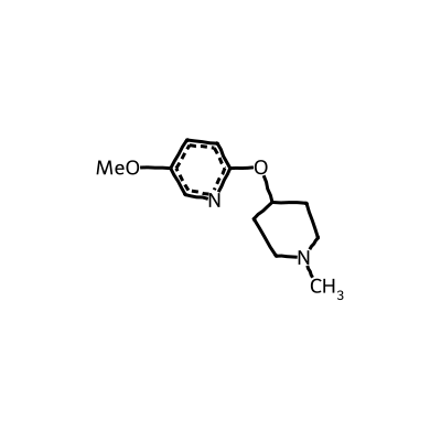 COc1ccc(OC2CCN(C)CC2)nc1